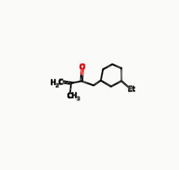 C=C(C)C(=O)CC1CCCC(CC)C1